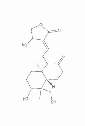 C=C1CC[C@@H]2C(C)(CO)C(O)CC[C@@]2(C)C1C/C=C1/C(=O)OCC1O